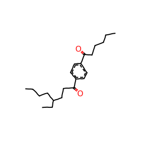 CCCCCC(=O)c1ccc(C(=O)CCC(CC)CCCC)cc1